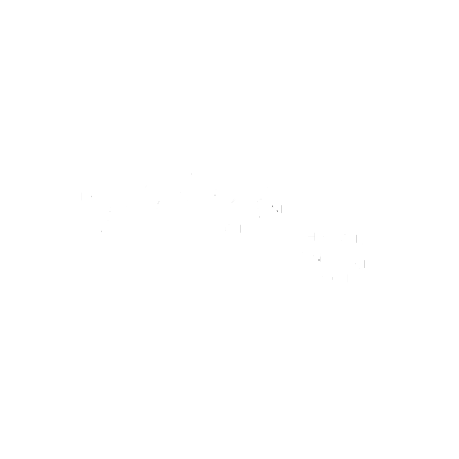 Cc1c(S(=O)(=O)NCCO[Si](C)(C)C(C)(C)C)sc2ccc(-c3ccc(C(=O)O)cc3)cc12